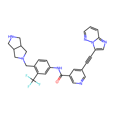 O=C(Nc1ccc(CN2CC3CNCC3C2)c(C(F)(F)F)c1)c1cncc(C#Cc2cnc3cccnn23)c1